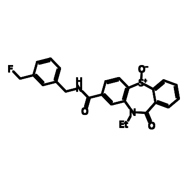 CCN1C(=O)c2ccccc2[S+]([O-])c2ccc(C(=O)NCc3cccc(CF)c3)cc21